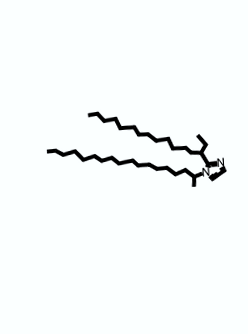 CCCCCCCCCCCCCCCCC(C)n1ccnc1C(CC)CCCCCCCCCCCCC